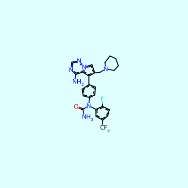 NC(=O)N(c1ccc(-c2c(CN3CCCCC3)cn3ncnc(N)c23)cc1)c1cc(C(F)(F)F)ccc1F